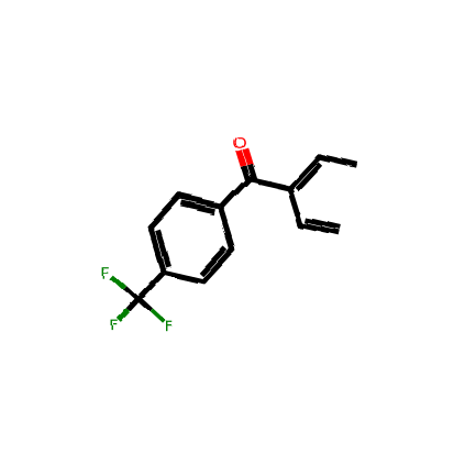 C=C/C(=C\C)C(=O)c1ccc(C(F)(F)F)cc1